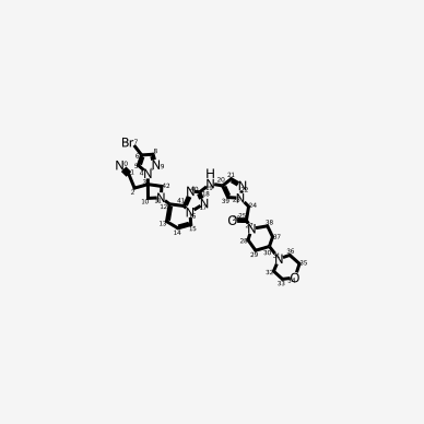 N#CCC1(n2cc(Br)cn2)CN(c2cccn3nc(Nc4cnn(CC(=O)N5CCC(N6CCOCC6)CC5)c4)nc23)C1